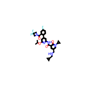 CC(C)Oc1cc(-c2ccc(F)cc2C(=O)N2CC(F)(F)C2)cc(NC(=O)c2cc(CNCC3CC3)cn(C3CC3)c2=O)n1